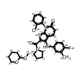 Cc1cc(Nc2c(C(=O)N3CCC[C@@H]3COC3CCCCO3)sc3c2ccc(=O)n3-c2ccccc2Cl)ccc1F